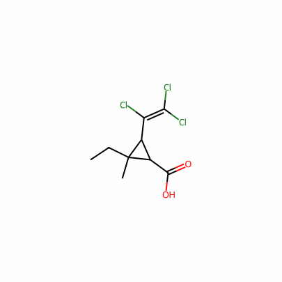 CCC1(C)C(C(=O)O)C1C(Cl)=C(Cl)Cl